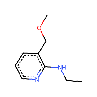 CCNc1ncc[c]c1COC